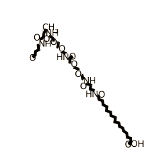 C[C@H](CCC(=O)NCCCC=O)NC(=O)COCCOCCNC(=O)COCCOCCNC(=O)CCCNC(=O)CCCCCCCCCCCCCCCCC(=O)O